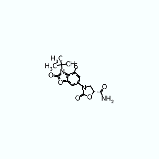 CC(C)(C)n1c(=O)oc2cc(N3C[C@H](C(N)=O)OC3=O)cc(F)c21